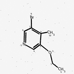 CCOc1cncc(Br)c1C